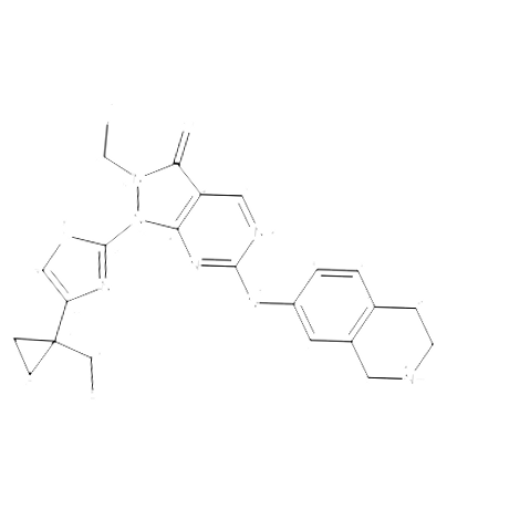 O=c1c2cnc(Nc3ccc4c(c3)CNCC4)nc2n(-c2nc(C3(CF)CC3)cs2)n1CC(F)(F)F